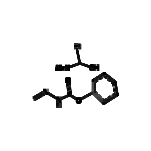 C=NNC(=O)Oc1ccccc1.CCC(O)NC